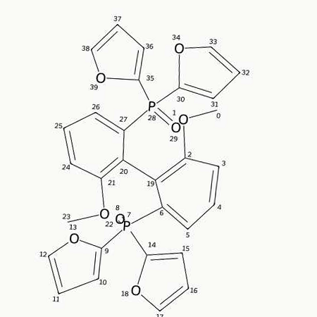 COc1cccc(P(=O)(c2ccco2)c2ccco2)c1-c1c(OC)cccc1P(=O)(c1ccco1)c1ccco1